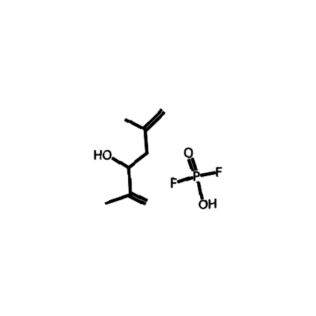 C=C(C)CC(O)C(=C)C.O=P(O)(F)F